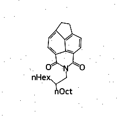 CCCCCCCCC(CCCCCC)CN1C(=O)c2ccc3c4c(ccc(c24)C1=O)CC3